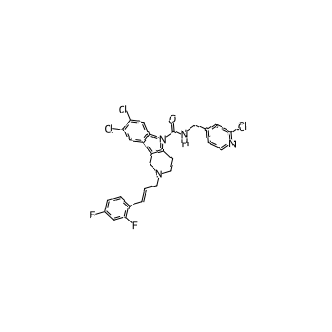 O=C(NCc1ccnc(Cl)c1)n1c2c(c3cc(Cl)c(Cl)cc31)CN(C/C=C/c1ccc(F)cc1F)CC2